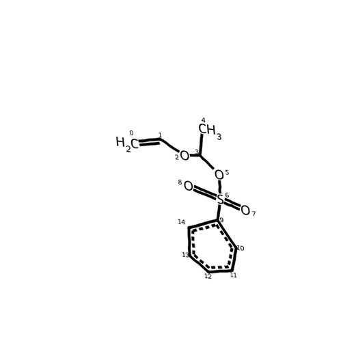 C=COC(C)OS(=O)(=O)c1ccccc1